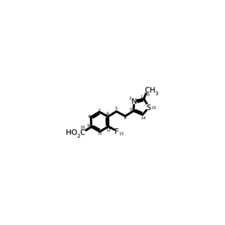 Cc1nc(CCc2ccc(C(=O)O)cc2F)cs1